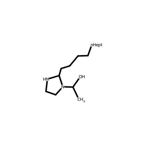 CCCCCCCCCCCC1NCCN1C(C)O